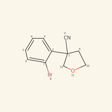 N#CC1(c2ccccc2Br)CCOC1